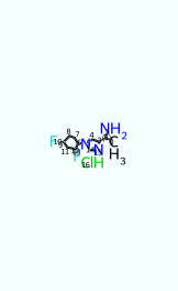 C[C@H](N)c1cn(-c2ccc(F)cc2F)cn1.Cl